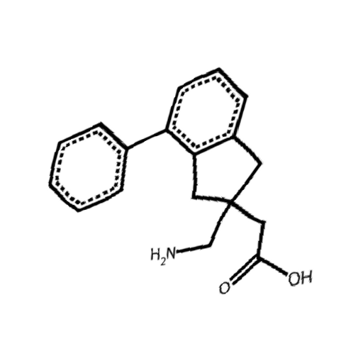 NCC1(CC(=O)O)Cc2cccc(-c3ccccc3)c2C1